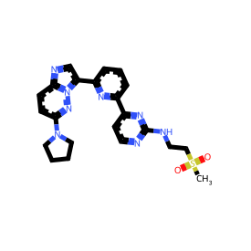 CS(=O)(=O)CCNc1nccc(-c2cccc(-c3cnc4ccc(N5CCCC5)nn34)n2)n1